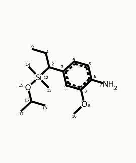 CCC(c1ccc(N)c(OC)c1)[Si](C)(C)OC(C)C